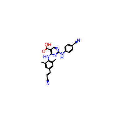 Cc1cc(/C=C/C#N)cc(C)c1Nc1nc(Nc2ccc(C#N)cc2)ncc1C(=O)O